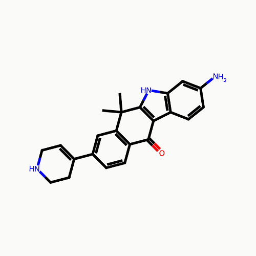 CC1(C)c2cc(C3=CCNCC3)ccc2C(=O)c2c1[nH]c1cc(N)ccc21